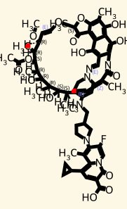 CO[C@H]1/C=C/O[C@@]2(C)Oc3c(C)c(O)c4c(O)c(c(/C=N/N5CCC(N(C)CC6CCN(c7c(F)cn8c(=O)c(C(=O)O)cc(C9CC9)c8c7C)C6)CC5)c(O)c4c3C2=O)NC(=O)/C(C)=C\C=C\[C@H](C)[C@H](O)[C@@H](C)[C@@H](O)[C@@H](C)[C@H](OC(C)=O)[C@@H]1C